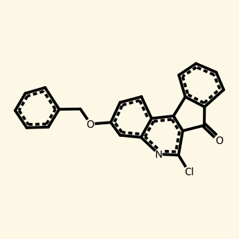 O=C1c2ccccc2-c2c1c(Cl)nc1cc(OCc3ccccc3)ccc21